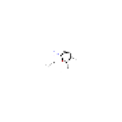 CCCOc1c([N+](=O)[O-])ccc(C)c1CC